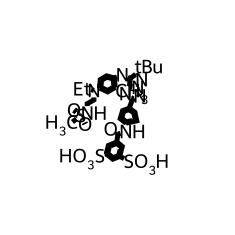 CCN(CCNS(C)(=O)=O)c1ccc(/N=C2/C(C(C)(C)C)=Nn3nc(-c4ccc(NC(=O)c5cc(S(=O)(=O)O)cc(S(=O)(=O)O)c5)cc4)nc32)c(C)c1